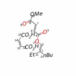 CCCCC(=COC(=O)/C=C/C(=O)OC)CC.O=C(O)/C=C\C(=O)O